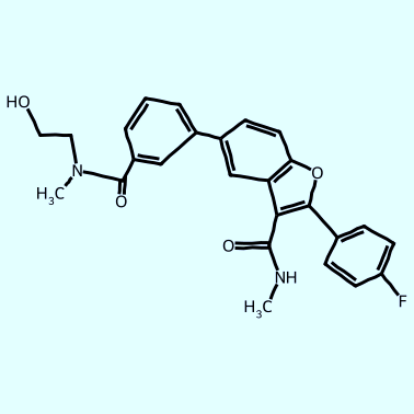 CNC(=O)c1c(-c2ccc(F)cc2)oc2ccc(-c3cccc(C(=O)N(C)CCO)c3)cc12